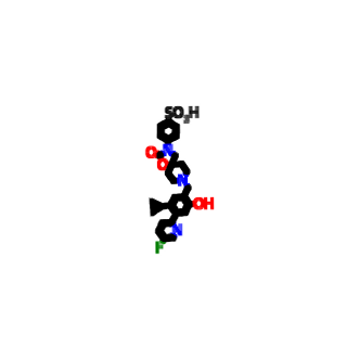 O=C1OC2(CCN(Cc3cc(C4CC4)c(-c4ccc(F)cn4)cc3O)CC2)CN1c1ccc(S(=O)(=O)O)cc1